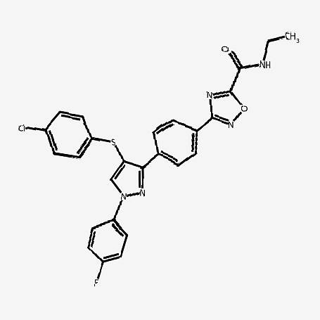 CCNC(=O)c1nc(-c2ccc(-c3nn(-c4ccc(F)cc4)cc3Sc3ccc(Cl)cc3)cc2)no1